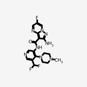 CN1CCN(c2c(NC(=O)c3c(N)nn4cc(F)cnc34)cncc2C(F)F)CC1